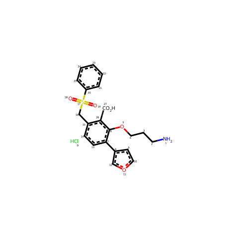 Cl.NCCCOc1c(-c2ccoc2)ccc(CS(=O)(=O)c2ccccc2)c1C(=O)O